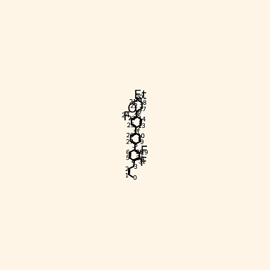 C/C=C\Cc1ccc(-c2ccc(-c3ccc(C4CCC(CC)CO4)c(F)c3)cc2)c(F)c1F